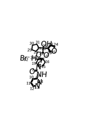 O=C(O[C@H]1C[N+]2(C(=O)Nc3cccnn3)CCC1CC2)C(O)(c1ccoc1)C1CCCC1.[Br-]